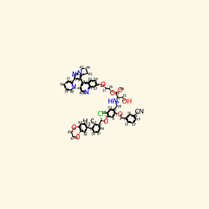 Cc1c(COc2cc(OCc3cccc(C#N)c3)c(CN[C@H](CO)C(=O)OCCOc3ccc4c(-c5c(-c6ccccn6)nn6c5CCC6)ccnc4c3)cc2Cl)cccc1-c1ccc2c(c1)OCCO2